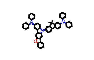 CC1(C)c2cc(N(c3ccccc3)c3ccccc3)ccc2-c2ccc(-n3c4ccc(N(c5ccccc5)c5ccccc5)cc4c4cc5oc6ccccc6c5cc43)cc21